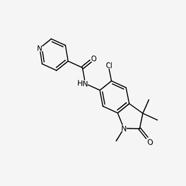 CN1C(=O)C(C)(C)c2cc(Cl)c(NC(=O)c3ccncc3)cc21